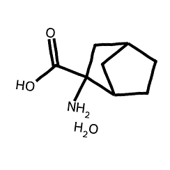 NC1(C(=O)O)CC2CCC1C2.O